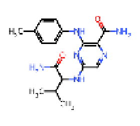 Cc1ccc(Nc2nc(NC(C(N)=O)C(C)C)cnc2C(N)=O)cc1